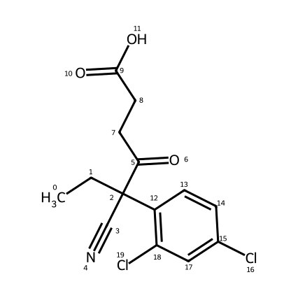 CCC(C#N)(C(=O)CCC(=O)O)c1ccc(Cl)cc1Cl